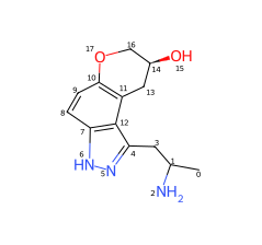 CC(N)Cc1n[nH]c2ccc3c(c12)C[C@H](O)CO3